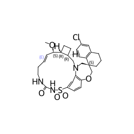 CO[C@@H]1/C=C/CCNC(=O)NS(=O)(=O)c2ccc3c(c2)N(C[C@@H]2CC[C@H]21)C[C@@]1(CCCc2cc(Cl)ccc21)CO3